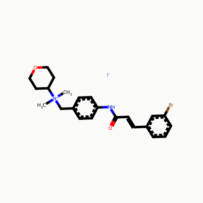 C[N+](C)(Cc1ccc(NC(=O)C=Cc2cccc(Br)c2)cc1)C1CCOCC1.[I-]